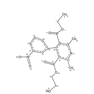 CCOC(=O)c1c(C)nc(C)c(C(=O)OCCO)c1-c1cccc([N+](=O)[O-])c1